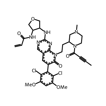 C=CC(=O)NC1COCC1Nc1ncc2cc(-c3c(Cl)c(OC)cc(OC)c3Cl)c(=O)n(CCC3CN(C)CCN3C(=O)C#CC)c2n1